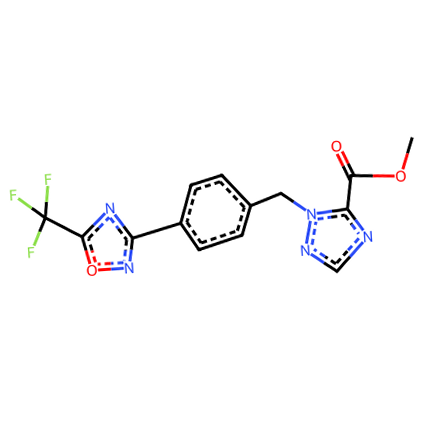 COC(=O)c1ncnn1Cc1ccc(-c2noc(C(F)(F)F)n2)cc1